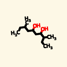 CCC(C)CC(O)CC(O)C(C)CC